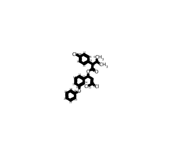 CC(C)C(C(=O)OC(C=C(Cl)Cl)c1cccc(Oc2ccccc2)c1)c1ccc(Cl)cc1